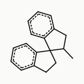 CC1Cc2ccccc2C12CCc1ccccc12